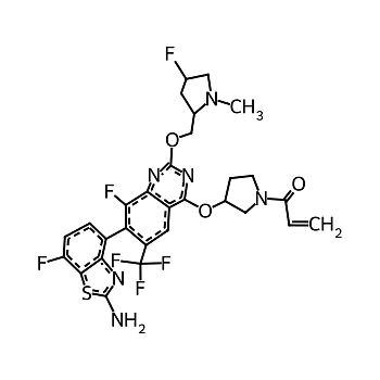 C=CC(=O)N1CCC(Oc2nc(OCC3CC(F)CN3C)nc3c(F)c(-c4ccc(F)c5sc(N)nc45)c(C(F)(F)F)cc23)C1